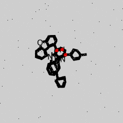 CC1C=CC(c2nc(-c3cccc4oc5cccc(N6c7ccccc7C7CC(c8ccccc8)C=CC76)c5c34)nc(C3C=CC=CC3)n2)=CC1